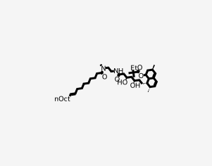 CCCCCCCCC=CCCCCCCCC(=O)N(C)CCNC(=O)C[C@H](O)C[C@@H](O)CC[C@@H]1C2C(=C[C@H](C)CC2OC(=O)C(C)(C)CC)C=C[C@@H]1C